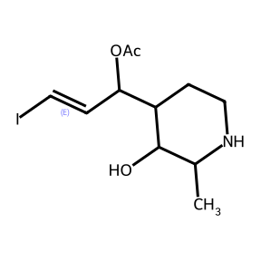 CC(=O)OC(/C=C/I)C1CCNC(C)C1O